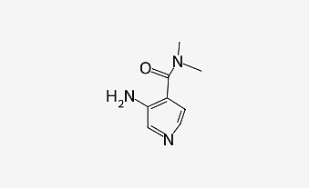 CN(C)C(=O)c1ccncc1N